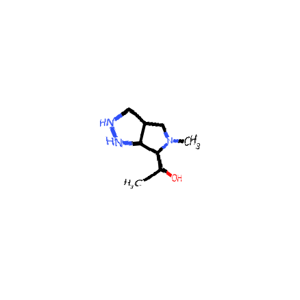 CC(O)C1C2NNCC2CN1C